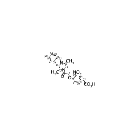 CC1CN(C(=O)COc2ccc(CC(=O)O)cc2[N+](=O)[O-])C(C)CN1Cc1ccc(F)cc1